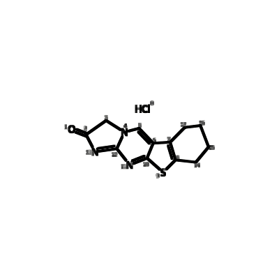 Cl.O=C1CN2C=c3c4c(sc3=NC2=N1)CCCC4